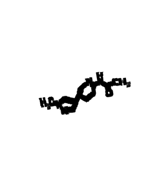 CC(=O)Nc1ccc(-c2cnn(C)c2)cn1